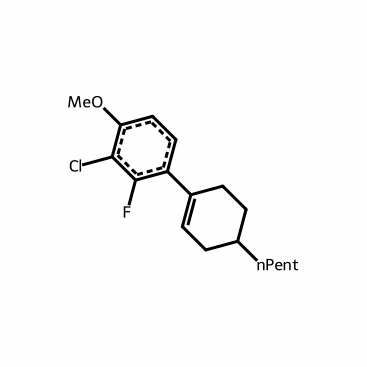 CCCCCC1CC=C(c2ccc(OC)c(Cl)c2F)CC1